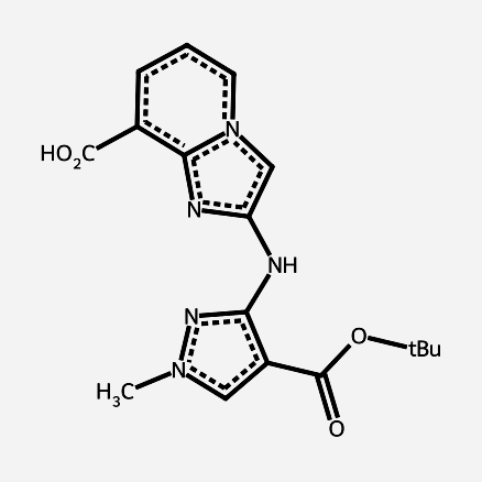 Cn1cc(C(=O)OC(C)(C)C)c(Nc2cn3cccc(C(=O)O)c3n2)n1